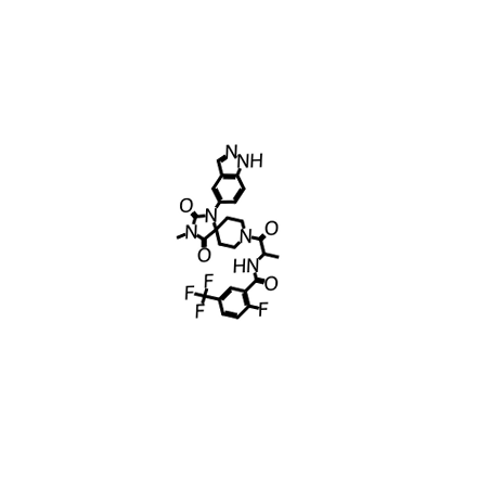 CC(NC(=O)c1cc(C(F)(F)F)ccc1F)C(=O)N1CCC2(CC1)C(=O)N(C)C(=O)N2c1ccc2[nH]ncc2c1